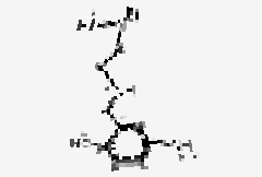 CCN(CC)CCNCc1cc(N)ccc1O